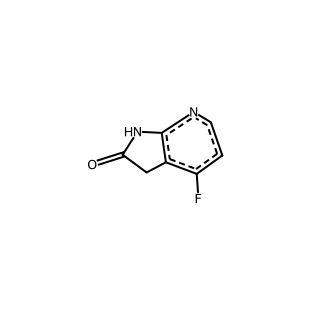 O=C1Cc2c(F)ccnc2N1